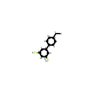 CCc1ccc(-c2cc(F)cc(F)c2)cc1